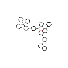 c1ccc(-c2ccccc2-c2ccccc2N(c2ccc(-c3cccc(-c4cccc5ccccc45)c3)cc2)c2ccc(-c3ccc4c(c3)C(c3ccccc3)(c3ccccc3)c3ccccc3-4)cc2)cc1